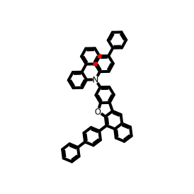 c1ccc(-c2ccc(-c3c4ccccc4cc4c3oc3cc(N(c5ccc(-c6ccccc6)cc5)c5ccccc5-c5ccccc5)ccc34)cc2)cc1